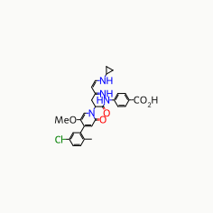 COc1cn(C(CC(=N)/C=C\NC2CC2)C(=O)Nc2ccc(C(=O)O)cc2)c(=O)cc1-c1cc(Cl)ccc1C